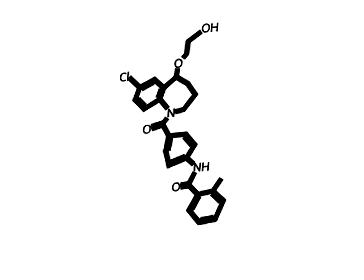 Cc1ccccc1C(=O)Nc1ccc(C(=O)N2CCCC(OCCO)c3cc(Cl)ccc32)cc1